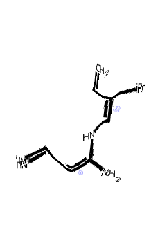 C=C/C(=C\N/C(N)=C\C=N)C(C)C